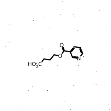 O=C(O)CCCOC(=O)c1cccnc1